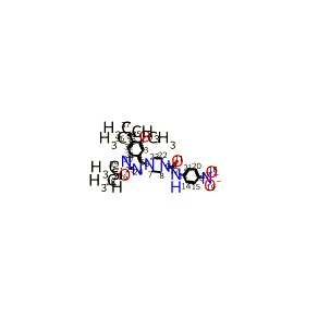 COc1cc2c(N3CCN(C(=O)Nc4ccc([N+](=O)[O-])cc4)CC3)nc(O[SiH](C)C)nc2cc1C(C)(C)C